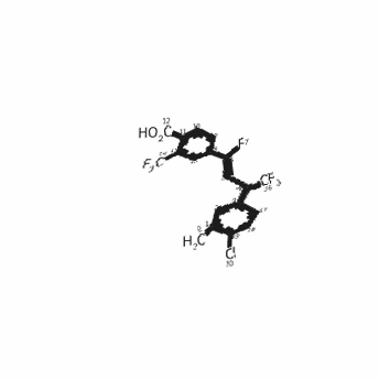 Cc1cc(C(/C=C(\F)c2ccc(C(=O)O)c(C(F)(F)F)c2)C(F)(F)F)ccc1Cl